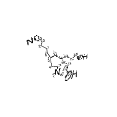 CN(C)CCC(CCCCC#N)CC([CH]CCO)CCCO